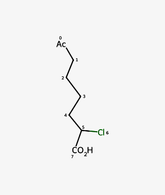 CC(=O)CCCCC(Cl)C(=O)O